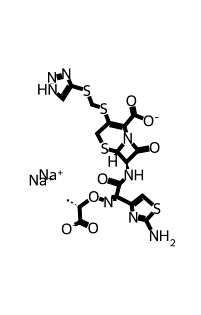 C[C@H](O/N=C(\C(=O)N[C@@H]1C(=O)N2C(C(=O)[O-])=C(SCSc3c[nH]nn3)CS[C@@H]12)c1csc(N)n1)C(=O)[O-].[Na+].[Na+]